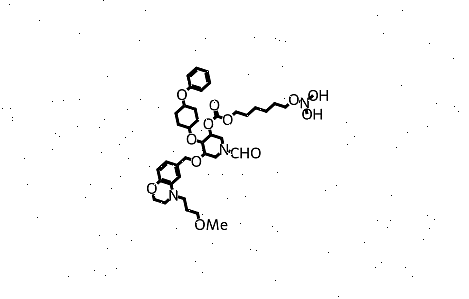 COCCCN1CCOc2ccc(COC3CN(C=O)CC(OC(=O)OCCCCCCON(O)O)C3OC3CCC(Oc4ccccc4)CC3)cc21